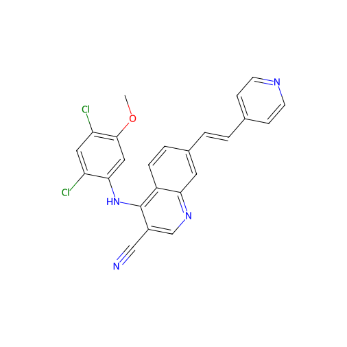 COc1cc(Nc2c(C#N)cnc3cc(C=Cc4ccncc4)ccc23)c(Cl)cc1Cl